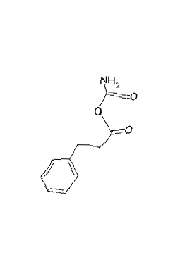 NC(=O)OC(=O)CCc1ccccc1